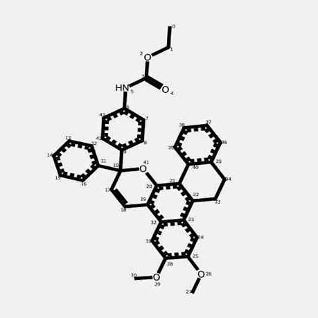 CCOC(=O)Nc1ccc(C2(c3ccccc3)C=Cc3c(c4c(c5cc(OC)c(OC)cc35)CCc3ccccc3-4)O2)cc1